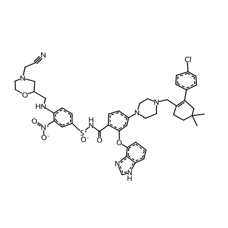 CC1(C)CCC(CN2CCN(c3ccc(C(=O)N[S+]([O-])c4ccc(NCC5CN(CC#N)CCO5)c([N+](=O)[O-])c4)c(Oc4cccc5[nH]cnc45)c3)CC2)=C(c2ccc(Cl)cc2)C1